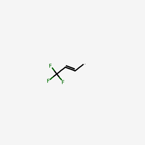 [CH2]/C=C/C(F)(F)F